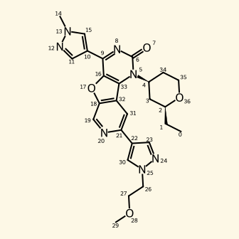 CC[C@H]1C[C@@H](n2c(=O)nc(-c3cnn(C)c3)c3oc4cnc(-c5cnn(CCOC)c5)cc4c32)CCO1